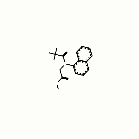 COC(=O)CN(C(=O)C(F)(F)F)c1cccc2ccccc12